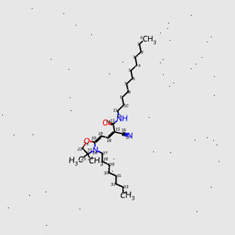 CCCCCCCCCCCCNC(=O)C(C#N)=CC=C1OCC(C)(C)N1CCCCCCCC